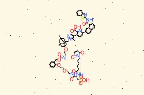 Cc1c(-c2ccc(-c3ccc4cccc(C(=O)Nc5nc6ccccc6s5)c4c3)nc2C(=O)O)cnn1CC12CC3(C)CC(C)(C1)CC(OCCN(C)C(=O)OCc1cc[c]cc1OCCOCCNC(=O)[C@H](CS(=O)(=O)O)NC(=O)CCCCCN1C(=O)C=CC1=O)(C3)C2